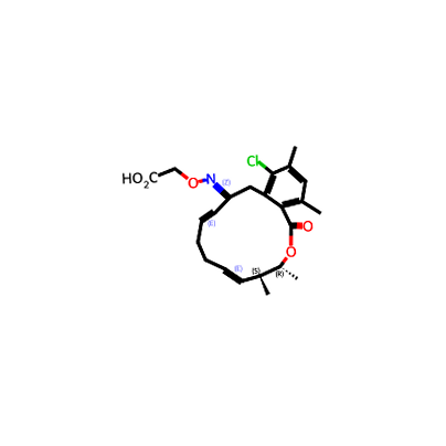 Cc1cc(C)c2c(c1Cl)CC(=N/OCC(=O)O)/C=C/CC/C=C/[C@H](C)[C@@H](C)OC2=O